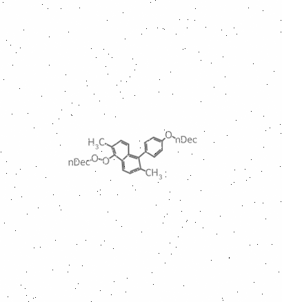 CCCCCCCCCCOOc1c(C)ccc2c(-c3ccc(OCCCCCCCCCC)cc3)c(C)ccc12